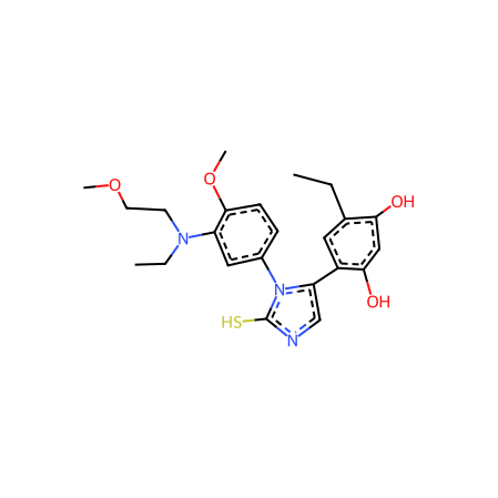 CCc1cc(-c2cnc(S)n2-c2ccc(OC)c(N(CC)CCOC)c2)c(O)cc1O